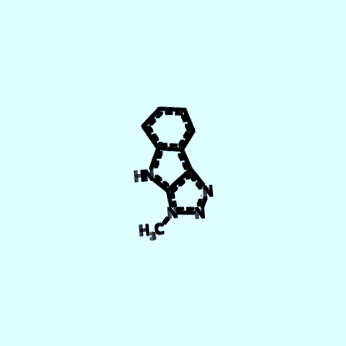 Cn1nnc2c3ccccc3[nH]c21